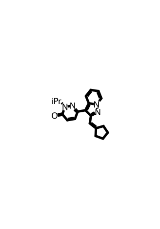 CC(C)n1nc(-c2c(C=C3CCCC3)nn3ccccc23)ccc1=O